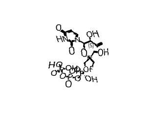 C=C[C@H](O)C(O[C@](CO)(CF)COP(=O)(O)OP(=O)(O)OP(=O)(O)O)n1ccc(=O)[nH]c1=O